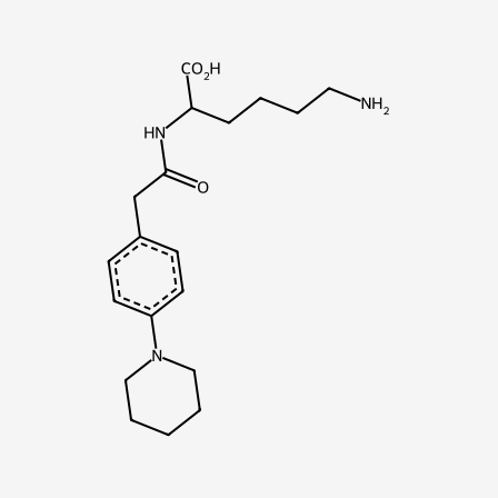 NCCCCC(NC(=O)Cc1ccc(N2CCCCC2)cc1)C(=O)O